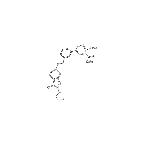 COC(=O)c1cc(-c2cccc(COc3ccc4c(=O)n(C5CCCC5)sc4c3)c2)ccc1OC